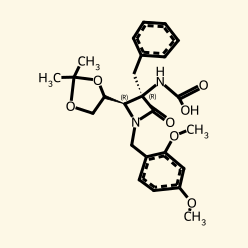 COc1ccc(CN2C(=O)[C@](Cc3ccccc3)(NC(=O)O)[C@@H]2C2COC(C)(C)O2)c(OC)c1